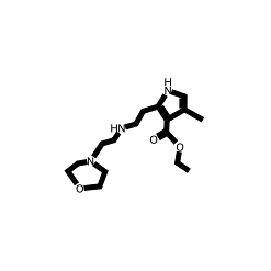 CCOC(=O)c1c(C)c[nH]c1CCNCCN1CCOCC1